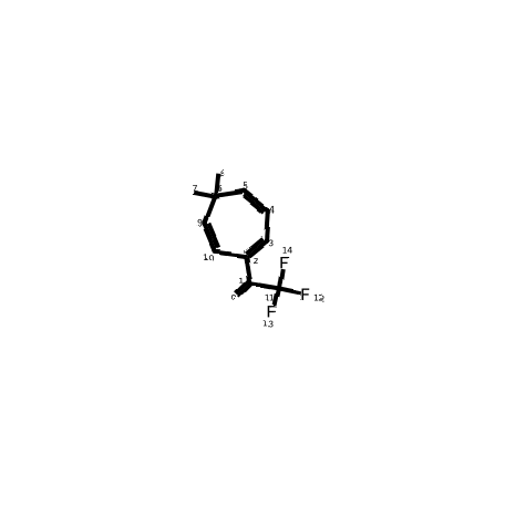 C=C(C1=CC=CC(C)(C)C=C1)C(F)(F)F